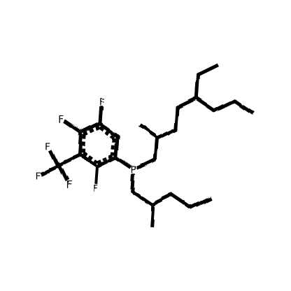 CCCC(C)CP(CC(C)CCC(CC)CCC)c1cc(F)c(F)c(C(F)(F)F)c1F